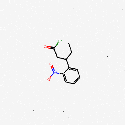 CCC(CC(=O)Br)c1ccccc1[N+](=O)[O-]